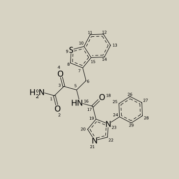 NC(=O)C(=O)C(Cc1csc2ccccc12)NC(=O)c1cncn1-c1ccccc1